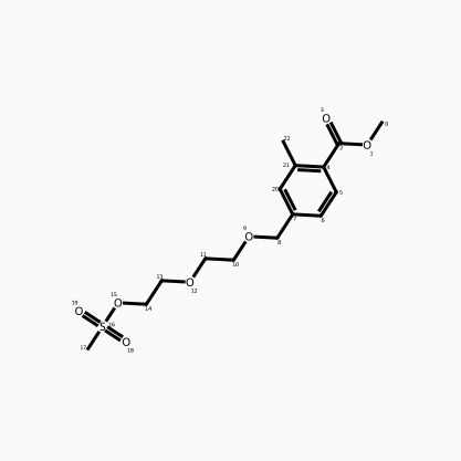 COC(=O)c1ccc(COCCOCCOS(C)(=O)=O)cc1C